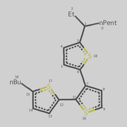 CCCCCC(CC)c1ccc(-c2ccsc2-c2ccc(CCCC)s2)s1